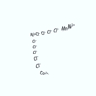 [Al+3].[Cl-].[Cl-].[Cl-].[Cl-].[Cl-].[Cl-].[Cl-].[Cl-].[Cl-].[Co+2].[Mn+2].[Ni+2]